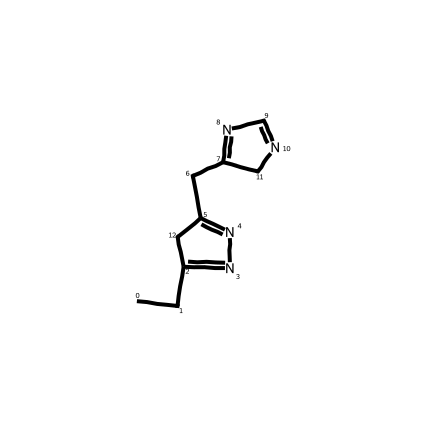 CCC1=NN=C(CC2=NC=NC2)C1